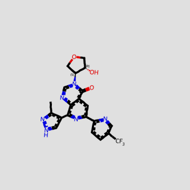 Cc1n[nH]cc1-c1nc(-c2ccc(C(F)(F)F)cn2)cc2c(=O)n([C@H]3COC[C@@H]3O)cnc12